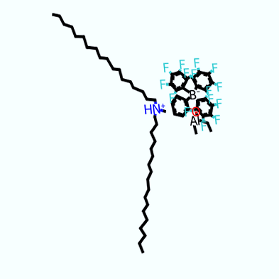 CCCCCCCCCCCCCCCCCC[NH+](C)CCCCCCCCCCCCCCCCCC.C[CH2][Al]([CH2]C)[O]c1ccccc1[B-](c1c(F)c(F)c(F)c(F)c1F)(c1c(F)c(F)c(F)c(F)c1F)c1c(F)c(F)c(F)c(F)c1F